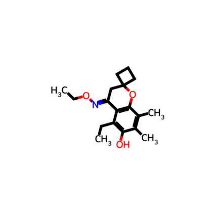 CCON=C1CC2(CCC2)Oc2c(C)c(C)c(O)c(CC)c21